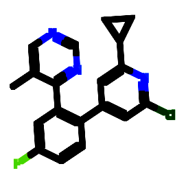 Cc1cncnc1-c1cc(F)ccc1-c1cc(Cl)nc(C2CC2)c1